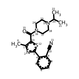 Cc1nc(-c2ccccc2C#N)sc1C(=O)N1CCN(C(C)C)CC1